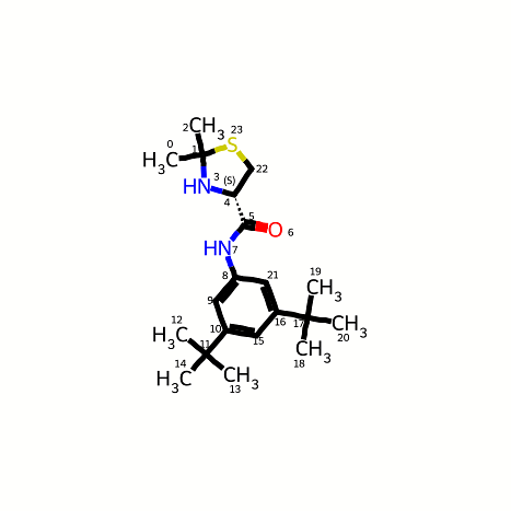 CC1(C)N[C@@H](C(=O)Nc2cc(C(C)(C)C)cc(C(C)(C)C)c2)CS1